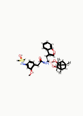 COc1cc(N=S(C)(C)=O)ccc1CC(=O)N[C@@H](Cc1coc2ccccc12)B1O[C@@H]2C[C@@H]3C[C@@H](C3(C)C)[C@]2(C)O1